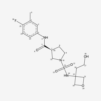 Cc1cc(NC(=O)[C@H]2CCN(S(=O)(=O)NC3(CCO)COC3)C2)ccc1F